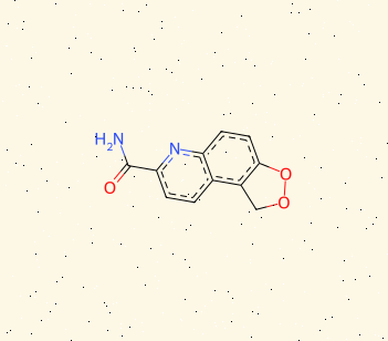 NC(=O)c1ccc2c3c(ccc2n1)OOC3